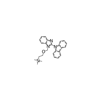 C[Si](C)(C)CCOCn1c(-n2c3ccccc3c3ccccc32)nc2ccccc21